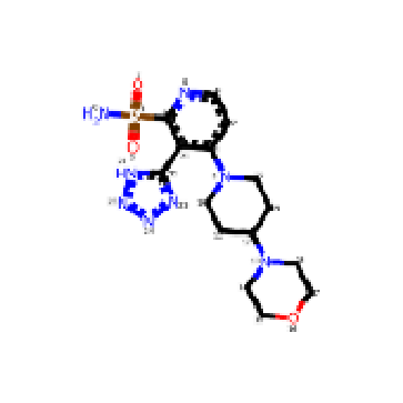 NS(=O)(=O)c1nccc(N2CCC(N3CCOCC3)CC2)c1-c1nnn[nH]1